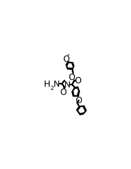 COc1ccc(COC(=O)C(c2ccc(OCc3ccccc3)cc2)N2CC(N)C2=O)cc1